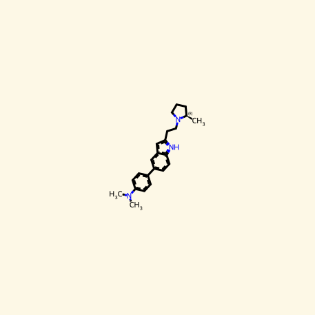 C[C@@H]1CCCN1CCc1cc2cc(-c3ccc(N(C)C)cc3)ccc2[nH]1